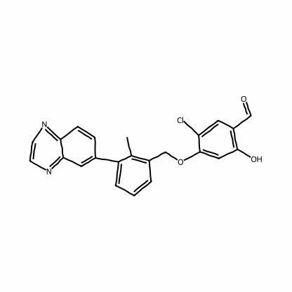 Cc1c(COc2cc(O)c(C=O)cc2Cl)cccc1-c1ccc2nccnc2c1